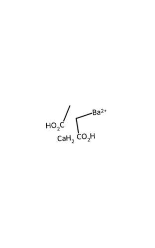 CC(=O)O.O=C(O)[CH2][Ba+2].[CaH2]